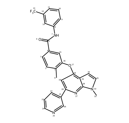 Cc1ccc(C(=O)Nc2cccc(C(F)(F)F)c2)cc1Oc1cc(-c2cccnc2)nc2c1ccn2C